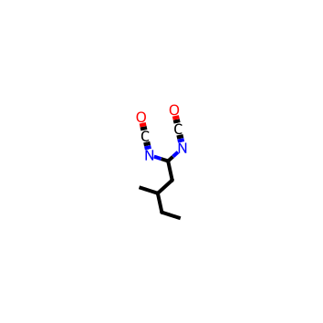 CCC(C)CC(N=C=O)N=C=O